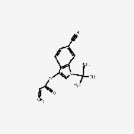 C=CC(=O)Oc1cn(C(C)(C)C)c2cc(C#N)ccc12